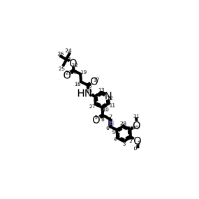 COc1ccc(/C=C/C(=O)c2cncc(NC(=O)CCC(=O)OC(C)(C)C)c2)cc1OC